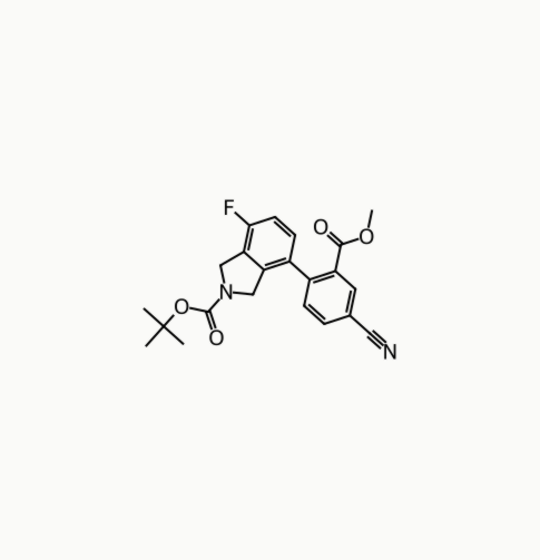 COC(=O)c1cc(C#N)ccc1-c1ccc(F)c2c1CN(C(=O)OC(C)(C)C)C2